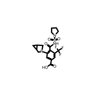 O=C(O)c1cc(N2CC3CC3C2)c(C(=O)NS(=O)(=O)N2CCCC2)c(C(F)(F)F)c1